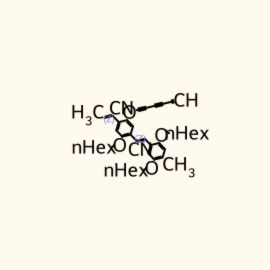 C#CC#CC#COc1cc(/C(C#N)=C/c2cc(OCCCCCC)c(C)cc2OCCCCCC)c(OCCCCCC)cc1/C(C#N)=C/C